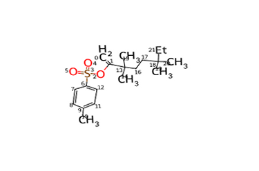 C=C(OS(=O)(=O)c1ccc(C)cc1)C(C)(C)CCC(C)(C)CC